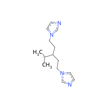 C[C](C)C(CCn1ccnc1)CCn1ccnc1